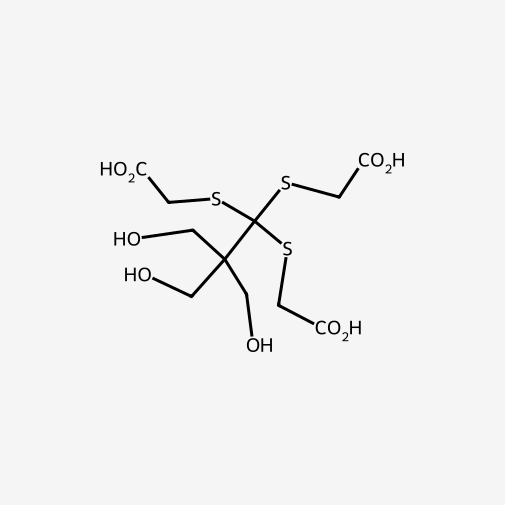 O=C(O)CSC(SCC(=O)O)(SCC(=O)O)C(CO)(CO)CO